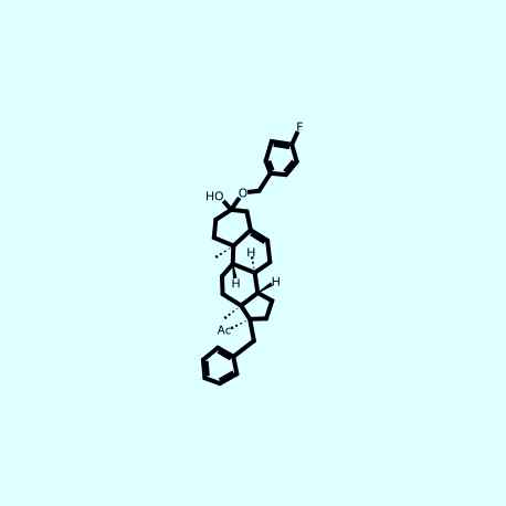 CC(=O)[C@@]1(Cc2ccccc2)CC[C@H]2[C@@H]3CC=C4CC(O)(OCc5ccc(F)cc5)CC[C@]4(C)[C@H]3CC[C@@]21C